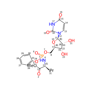 COC(=O)[C@@H](NP(=O)(OC[C@H]1O[C@@H](n2ccc(=O)[nH]c2=O)[C@H](O)[C@@H]1O)Oc1ccccc1)C(C)C